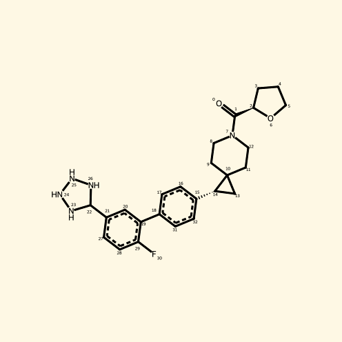 O=C([C@H]1CCCO1)N1CCC2(CC1)C[C@@H]2c1ccc(-c2cc(C3NNNN3)ccc2F)cc1